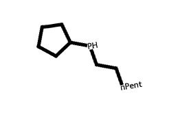 CCCCCCCPC1CCCC1